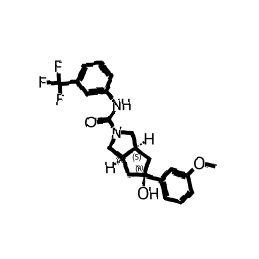 COc1cccc([C@]2(O)C[C@H]3CN(C(=O)Nc4cccc(C(F)(F)F)c4)C[C@H]3C2)c1